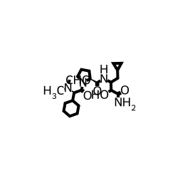 CN(C=O)[C@H](C(=O)N1CCC[C@H]1C(=O)NC(CC1CC1)C(O)C(N)=O)C1CCCCC1